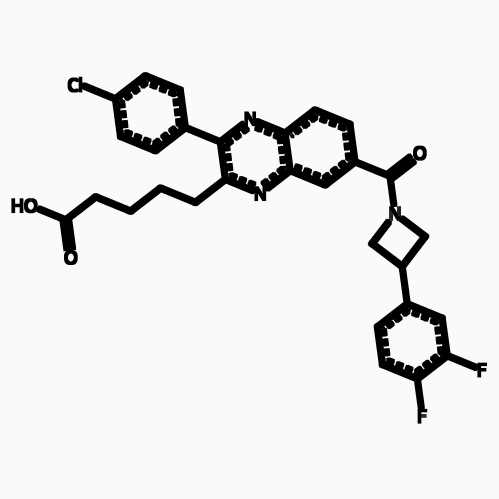 O=C(O)CCCCc1nc2cc(C(=O)N3CC(c4ccc(F)c(F)c4)C3)ccc2nc1-c1ccc(Cl)cc1